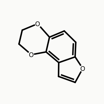 c1cc2c3c(ccc2o1)OCCO3